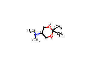 CN(C)C1COC(C)(C)OC1